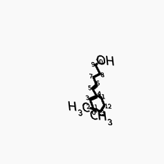 CC1(C)C=C(C=CCCCO)CCC1